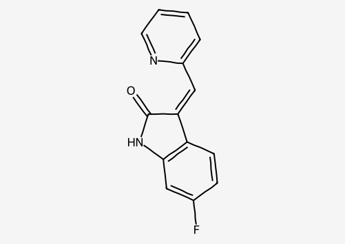 O=C1Nc2cc(F)ccc2C1=Cc1ccccn1